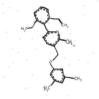 CCc1cccc(CC)c1-c1ccc(COc2cc(C)cc(C)c2)c(C)n1